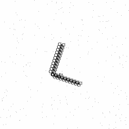 CCOC(C)=O.ClC(Cl)Cl.ClC(Cl)Cl.ClC(Cl)Cl.ClC(Cl)Cl.ClC(Cl)Cl.ClC(Cl)Cl.ClC(Cl)Cl.ClC(Cl)Cl.ClC(Cl)Cl.ClC(Cl)Cl.ClC(Cl)Cl.ClC(Cl)Cl.ClC(Cl)Cl.ClC(Cl)Cl.ClC(Cl)Cl.ClC(Cl)Cl.ClC(Cl)Cl.ClC(Cl)Cl.ClC(Cl)Cl.ClC(Cl)Cl